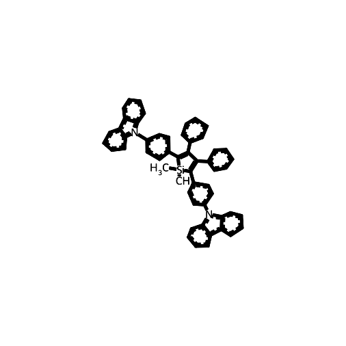 C[Si]1(C)C(c2ccc(-n3c4ccccc4c4ccccc43)cc2)=C(c2ccccc2)C(c2ccccc2)=C1c1ccc(-n2c3ccccc3c3ccccc32)cc1